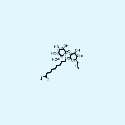 COC[C@H]1O[C@H](OCCCCCCCCC(=O)OC)[C@H](O[C@H]2O[C@H](CO)[C@@H](O)[C@H](O)[C@H]2O)[C@@H](O)[C@@H]1O